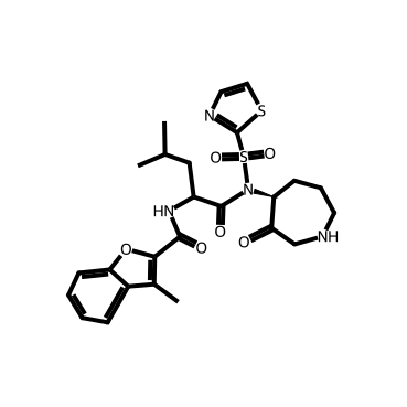 Cc1c(C(=O)NC(CC(C)C)C(=O)N([C@H]2CCCNCC2=O)S(=O)(=O)c2nccs2)oc2ccccc12